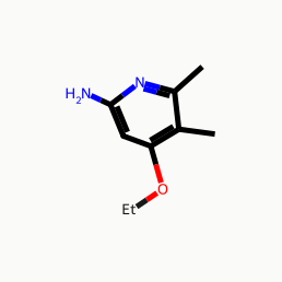 CCOc1cc(N)nc(C)c1C